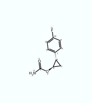 NC(=O)O[C@@H]1C[C@H]1c1ccc(F)cc1